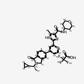 Cc1[nH]c(-c2cc(-c3ccc4c(c3)CN([C@@H](C)C3CC3)C4=O)ccn2)nc1C(=O)NC1CCOCC1.O=C(O)C(F)(F)F